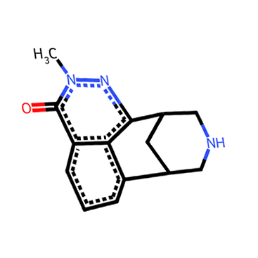 Cn1nc2c3c(cccc3c1=O)C1CNCC2C1